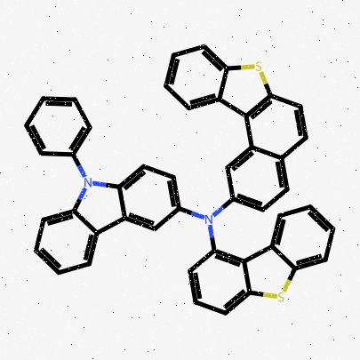 c1ccc(-n2c3ccccc3c3cc(N(c4ccc5ccc6sc7ccccc7c6c5c4)c4cccc5sc6ccccc6c45)ccc32)cc1